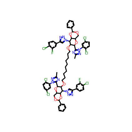 Cc1nc(C2OC3COC(c4ccccc4)OC3C(n3cc(-c4ccc(Cl)c(F)c4)nn3)C2OCCCCCCCCCCOC2C(c3nc(C)nn3-c3cc(Cl)ccc3Cl)OC3COC(c4ccccc4)OC3C2n2cc(-c3ccc(Cl)c(F)c3)nn2)n(-c2cc(Cl)ccc2Cl)n1